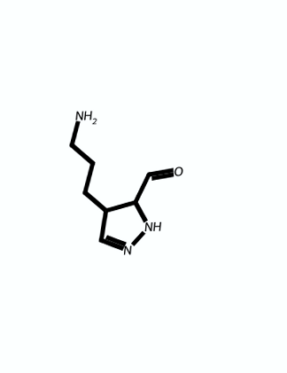 NCCCC1C=NNC1C=O